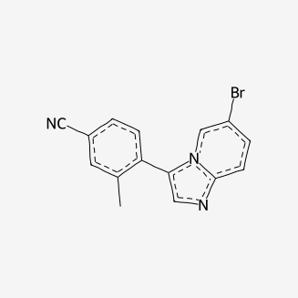 Cc1cc(C#N)ccc1-c1cnc2ccc(Br)cn12